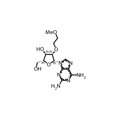 COCCO[C@@H]1[C@H](O)[C@@H](CO)O[C@H]1n1cnc2c(N)nc(N)nc21